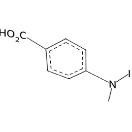 CN(I)c1ccc(C(=O)O)cc1